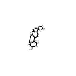 C[C@]12CCC3C(CC[C@H]4C[C@@H](O)CC[C@]34C)[C@@H]1CCC21OCCO1